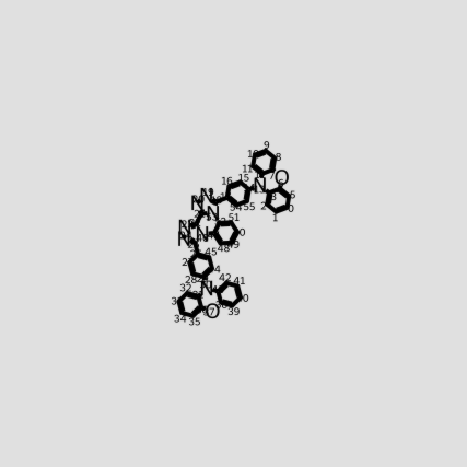 c1ccc2c(c1)Oc1ccccc1N2c1ccc(-c2nnc3c4nnc(-c5ccc(N6c7ccccc7Oc7ccccc76)cc5)n4c4ccccc4n23)cc1